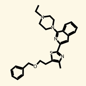 CCN1CCN(c2nc(-c3nc(C)c(CCOCc4ccccc4)s3)cc3ccccc23)CC1